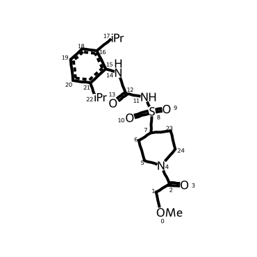 COCC(=O)N1CCC(S(=O)(=O)NC(=O)Nc2c(C(C)C)cccc2C(C)C)CC1